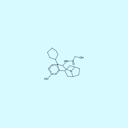 O=C(CO)NC(CC1CCCCC1)CN1C2CCC1CC(c1cccc(O)c1)C2